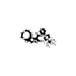 CC(C)(C)N1CCN(c2ccncc2NC(=O)c2c(N)nn3c2NC2(CCCCCCCCCC2)C(Cl)C3)CC1